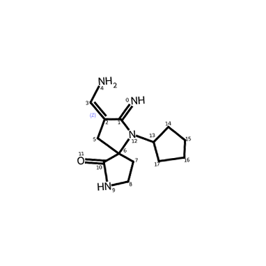 N=C1/C(=C\N)CC2(CCNC2=O)N1C1CCCC1